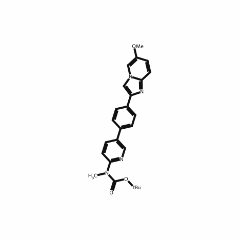 COc1ccc2nc(-c3ccc(-c4ccc(N(C)C(=O)OC(C)(C)C)nc4)cc3)cn2c1